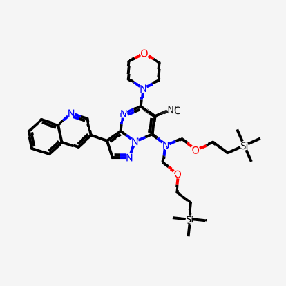 [C-]#[N+]c1c(N2CCOCC2)nc2c(-c3cnc4ccccc4c3)cnn2c1N(COCC[Si](C)(C)C)COCC[Si](C)(C)C